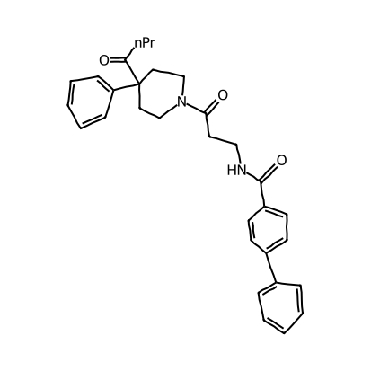 CCCC(=O)C1(c2ccccc2)CCN(C(=O)CCNC(=O)c2ccc(-c3ccccc3)cc2)CC1